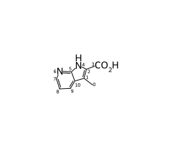 Cc1c(C(=O)O)[nH]c2ncccc12